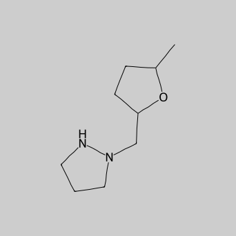 CC1CCC(CN2CCCN2)O1